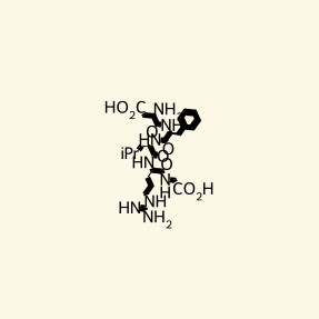 CC(C)C[C@H](NC(=O)[C@H](Cc1ccccc1)NC(=O)[C@@H](N)CC(=O)O)C(=O)N[C@@H](CCCNC(=N)N)C(=O)NCC(=O)O